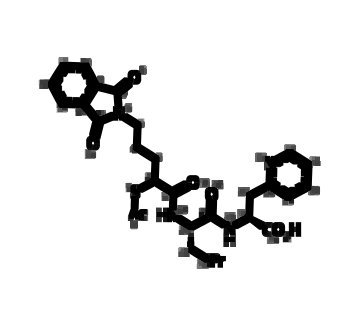 CC(=O)SC(CCCN1C(=O)c2ccccc2C1=O)C(=O)N[C@@H](CC(C)C)C(=O)N[C@@H](Cc1ccccn1)C(=O)O